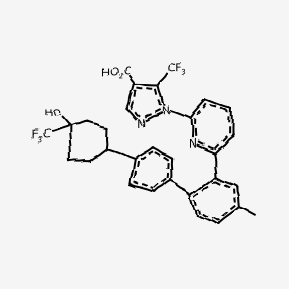 Cc1ccc(-c2ccc(C3CCC(O)(C(F)(F)F)CC3)cc2)c(-c2cccc(-n3ncc(C(=O)O)c3C(F)(F)F)n2)c1